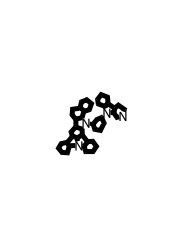 c1cc(-n2c3ccccc3c3ccncc32)cc(-n2c3c4ccccc4ccc3c3cc4c5ccccc5n5c6ccccc6c(c32)c45)c1